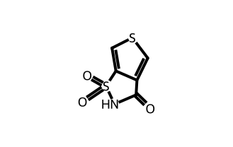 O=C1NS(=O)(=O)c2cscc21